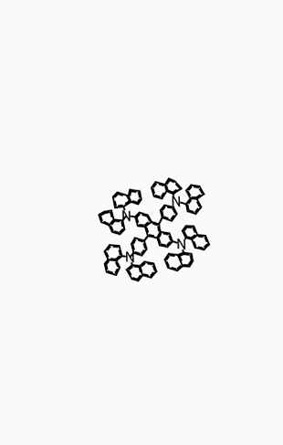 c1ccc2c(N(c3ccc(-c4c5ccc(N(c6cccc7ccccc67)c6cccc7ccccc67)cc5c(-c5ccc(N(c6cccc7ccccc67)c6cccc7ccccc67)cc5)c5ccc(N(c6cccc7ccccc67)c6cccc7ccccc67)cc45)cc3)c3cccc4ccccc34)cccc2c1